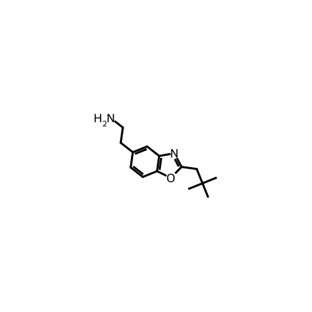 CC(C)(C)Cc1nc2cc(CCN)ccc2o1